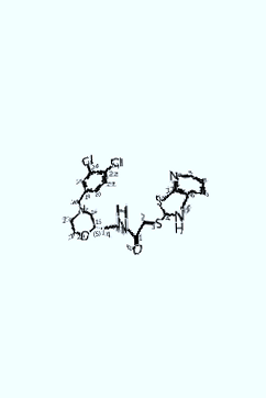 O=C(CSC1Nc2cccnc2S1)NC[C@H]1CN(Cc2ccc(Cl)c(Cl)c2)CCO1